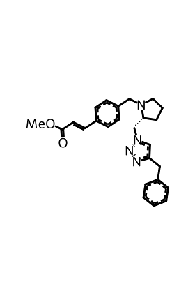 COC(=O)/C=C/c1ccc(CN2CCC[C@@H]2Cn2cc(Cc3ccccc3)nn2)cc1